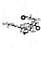 CCCC[C@@H](C(=O)N(C)[C@@H](CC(C)C)C(=O)NC(C(=O)N[C@@H](CNC(=O)OCc1ccccc1)C(=O)O)C1CCCCC1)N(CC1CC1)C[C@@H](C)NC(=O)[C@@H](N)COCCCNC(=O)OC(C)(C)C